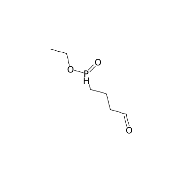 CCO[PH](=O)CCCC=O